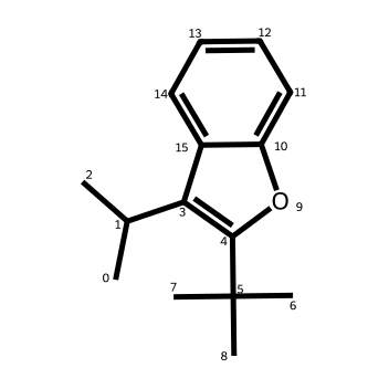 CC(C)c1c(C(C)(C)C)oc2ccccc12